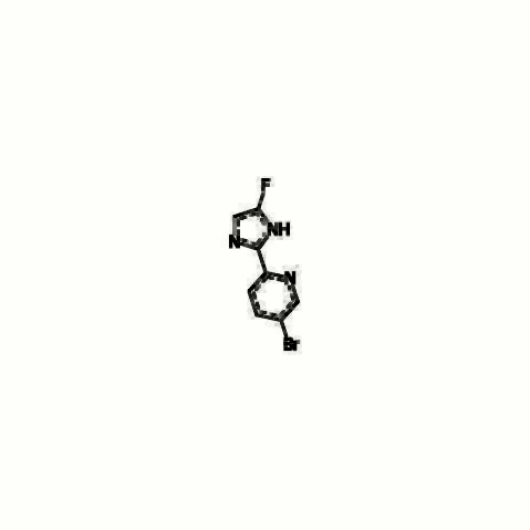 Fc1cnc(-c2ccc(Br)cn2)[nH]1